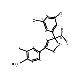 Cc1cc(C2=CC(c3cc(Cl)cc(Cl)c3)(C(F)F)OC2)ccc1C(=O)O